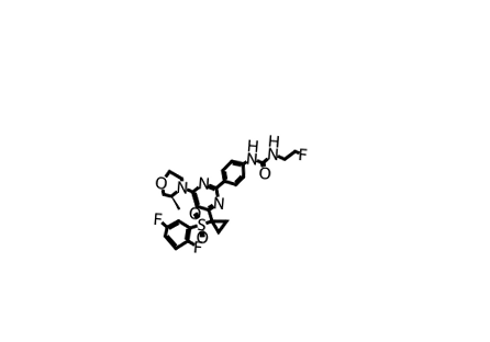 C[C@H]1COCCN1c1cc(C2(S(=O)(=O)c3cc(F)ccc3F)CC2)nc(-c2ccc(NC(=O)NCCF)cc2)n1